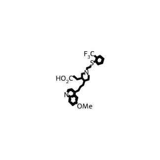 COc1ccc2nccc(CCCC3CCN(CCSc4ccccc4C(F)(F)F)CC3CCC(=O)O)c2c1